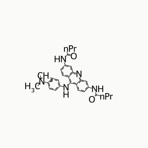 CCCC(=O)Nc1ccc2c(Nc3ccc(N(C)C)cc3)c3ccc(NC(=O)CCC)cc3nc2c1